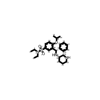 CCN(CC)S(=O)(=O)c1ccc(OC(C)C)c(CN[C@H]2CCCN[C@H]2c2ccccc2)c1